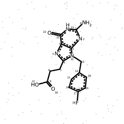 Nc1nc2c(nc(CCC(=O)O)n2Cc2ccc(F)cc2)c(=O)[nH]1